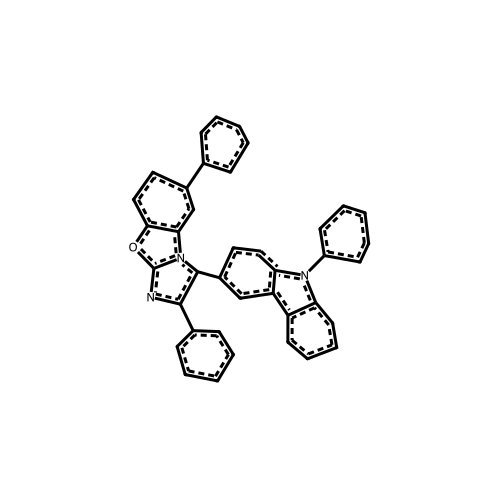 c1ccc(-c2ccc3oc4nc(-c5ccccc5)c(-c5ccc6c(c5)c5ccccc5n6-c5ccccc5)n4c3c2)cc1